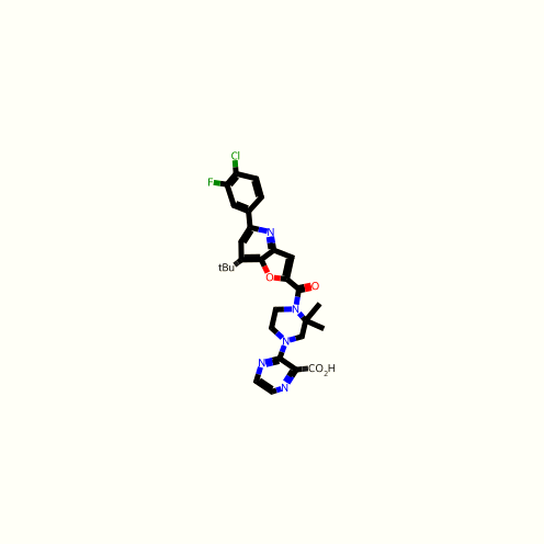 CC(C)(C)c1cc(-c2ccc(Cl)c(F)c2)nc2cc(C(=O)N3CCN(c4nccnc4C(=O)O)CC3(C)C)oc12